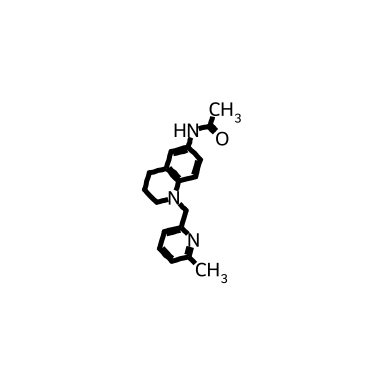 CC(=O)Nc1ccc2c(c1)CCCN2Cc1cccc(C)n1